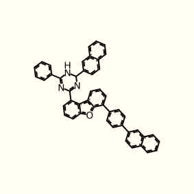 c1ccc(C2=NC(c3cccc4oc5c(-c6ccc(-c7ccc8ccccc8c7)cc6)cccc5c34)=NC(c3ccc4ccccc4c3)N2)cc1